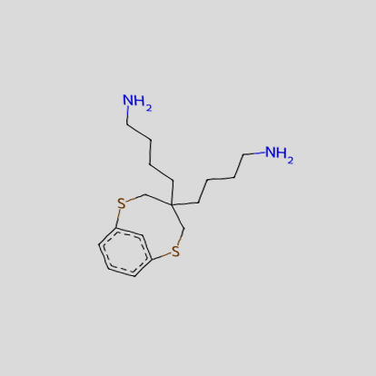 NCCCCC1(CCCCN)CSc2cccc(c2)SC1